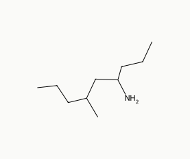 CCCC(C)CC(N)CCC